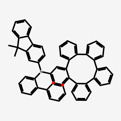 CC1(C)c2ccccc2-c2ccc(N(c3ccc4c5ccccc5c5ccccc5c5ccccc5c5ccccc5c4c3)c3ccccc3-c3ccccc3)cc21